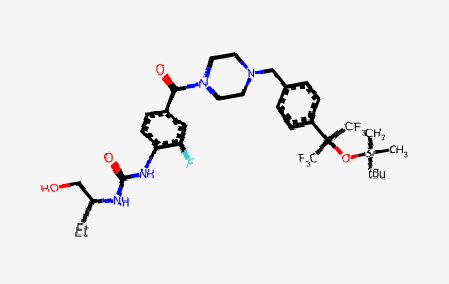 CCC(CO)NC(=O)Nc1ccc(C(=O)N2CCN(Cc3ccc(C(O[Si](C)(C)C(C)(C)C)(C(F)(F)F)C(F)(F)F)cc3)CC2)cc1F